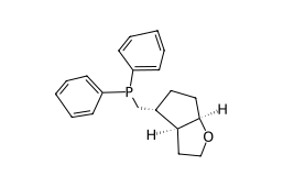 c1ccc(P(C[C@@H]2CC[C@H]3OCC[C@@H]23)c2ccccc2)cc1